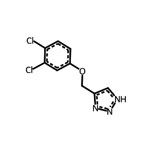 Clc1ccc(OCc2c[nH]nn2)cc1Cl